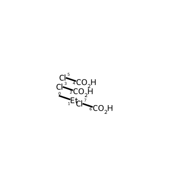 CCC.O=C(O)Cl.O=C(O)Cl.O=C(O)Cl